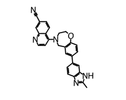 Cc1nc2ccc(-c3ccc4c(c3)CN(c3ccnc5cc(C#N)ccc35)CCO4)cc2[nH]1